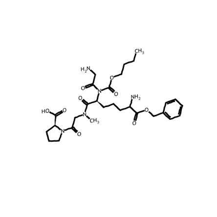 CCCCOC(=O)N(C(=O)CN)[C@@H](CCCC(N)C(=O)OCc1ccccc1)C(=O)N(C)CC(=O)N1CCC[C@H]1C(=O)O